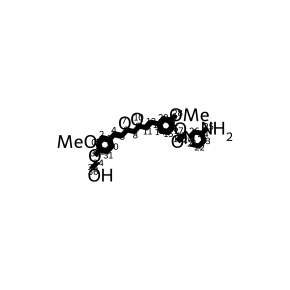 COc1cc(/C=C/C(=O)CC(=O)/C=C/c2ccc(OC(=O)N3CCCC(N)C3)c(OC)c2)ccc1OCCO